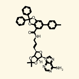 Cc1ccc(-c2cc3c(c(C(=O)NC/C=C/[C@H]4O[C@@H](n5cnc6c(N)ncnc65)[C@H]5OC(C)(C)OC45)c2)OC(c2ccccc2)(c2ccccc2)O3)cc1